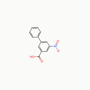 O=C(O)c1cc(-c2cc[c]cc2)cc([N+](=O)[O-])c1